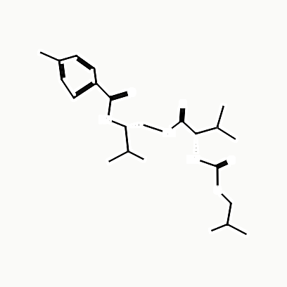 Cc1ccc(C(=O)N[C@H](CNC(=O)[C@@H](NC(=O)OCC(C)C)C(C)C)C(C)C)cc1